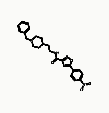 O=C(NCCC1CCN(Cc2ccccc2)CC1)c1noc(-c2ccc([N+](=O)[O-])cc2)n1